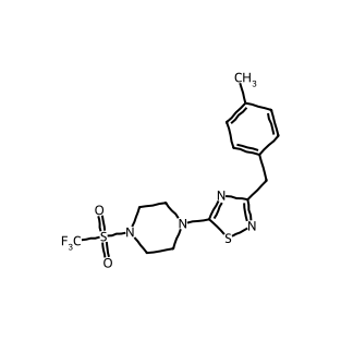 Cc1ccc(Cc2nsc(N3CCN(S(=O)(=O)C(F)(F)F)CC3)n2)cc1